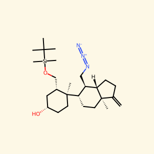 C=C1CC[C@H]2[C@H](CN=[N+]=[N-])[C@@H]([C@@]3(C)CC[C@H](O)C[C@@H]3CO[Si](C)(C)C(C)(C)C)CC[C@]12C